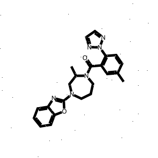 Cc1ccc(-n2nccn2)c(C(=O)N2CCCN(c3nc4ccccc4o3)CC2C)c1